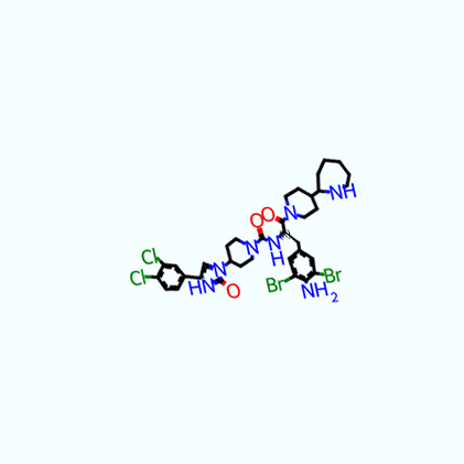 Nc1c(Br)cc(C[C@@H](NC(=O)N2CCC(n3cc(-c4ccc(Cl)c(Cl)c4)[nH]c3=O)CC2)C(=O)N2CCC(C3CCCCCN3)CC2)cc1Br